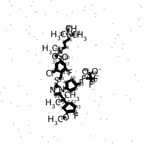 COc1cc(C(C)(C)c2cnc(SCc3c(F)cc(S(=O)(=O)N(C)CCC[N+](C)(C)C)cc3Cl)n2-c2ccc(F)cc2)ccc1F.O=C([O-])C(F)(F)F